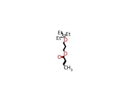 C/C=C/C(=O)OCCCO[Si](CC)(CC)CC